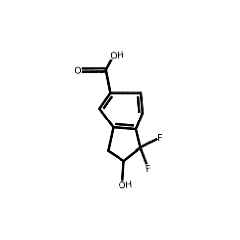 O=C(O)c1ccc2c(c1)CC(O)C2(F)F